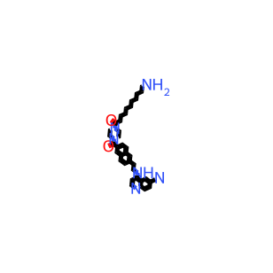 N#Cc1ccc2nccc(NCCc3ccc4cc(C(=O)N5CCN(C(=O)CCCCCCCCCCN)CC5)ccc4c3)c2c1